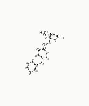 CCC(N)(CC)COc1ccc(Cc2ccccc2)cc1